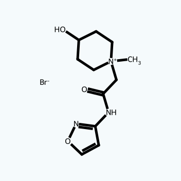 C[N+]1(CC(=O)Nc2ccon2)CCC(O)CC1.[Br-]